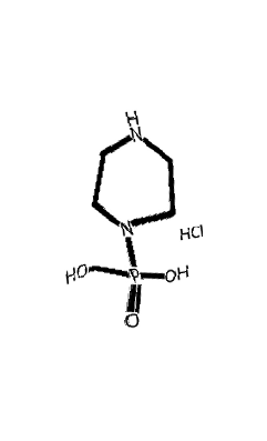 Cl.O=P(O)(O)N1CCNCC1